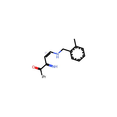 Cc1ccccc1CN/C=C\C(=N)C(=O)C(C)C